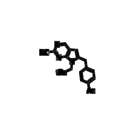 CC(=O)c1ccc(Cc2cc3cnc(C#N)nc3n2CC(C)(C)C)cc1